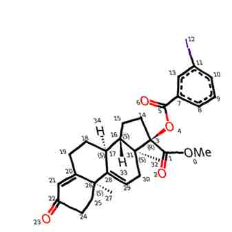 COC(=O)[C@@]1(OC(=O)c2cccc(I)c2)CC[C@H]2[C@@H]3CCC4=CC(=O)CC[C@]4(C)C3=CC[C@@]21C